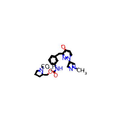 Cn1cc(-n2ccc(=O)c(Cc3cccc(NC(=O)OCC4CCCN4C(=O)O)c3)n2)cn1